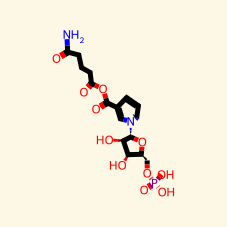 NC(=O)CCCC(=O)OC(=O)c1ccc[n+]([C@@H]2O[C@H](COP(=O)(O)O)[C@@H](O)[C@H]2O)c1